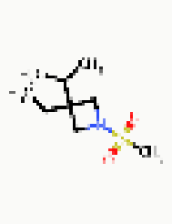 CCC1(C(C)C)CN(S(C)(=O)=O)C1